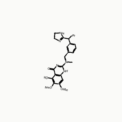 COc1cc2[nH]c(N(C)Cc3cccc(C(C4=NCCN4)C(C)C)c3)nc(=O)c2c(O)c1OC